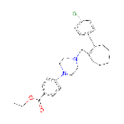 CCOC(=O)c1ccc(N2CCN(CC3=C(c4ccc(Cl)cc4)CCCCC3)CC2)cc1